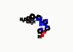 CCOc1cccnc1O[C@@H]1CCCN(c2cncc(Nc3nccc(-c4cccc(OC(C)(C)C(=O)O)c4)n3)n2)C1